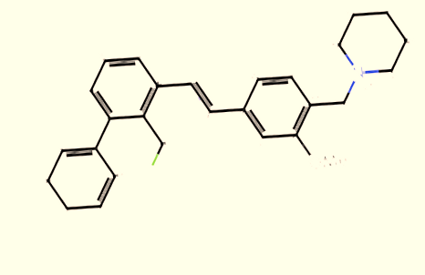 COc1cc(/C=C/c2cccc(C3=CCCC=C3)c2CF)ccc1CN1CCCCC1